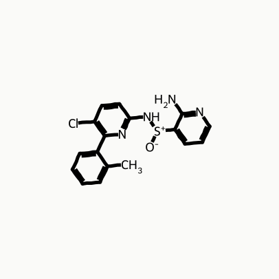 Cc1ccccc1-c1nc(N[S+]([O-])c2cccnc2N)ccc1Cl